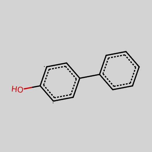 Oc1[c]cc(-c2ccccc2)c[c]1